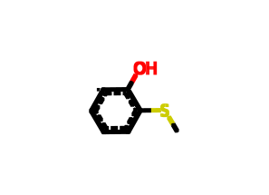 CSc1ccc[c]c1O